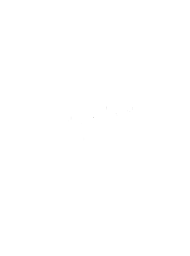 O=C1CCC(Cc2ccccc2)(C(=O)OCc2ccccc2)O1